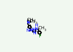 CCN(CC)Cc1ccc2c(c1)ncn2-c1cncc(NC(C)c2ccc(F)cc2)n1